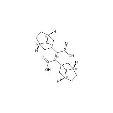 CN1[C@@H]2CC[C@H]1CC(/C(C(=O)O)=C(\C(=O)O)C1C[C@H]3CC[C@@H](C1)N3C)C2